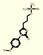 CCOc1ccc(-n2cc(CCCO[Si](C)(C)C(C)(C)C)oc2=O)cc1